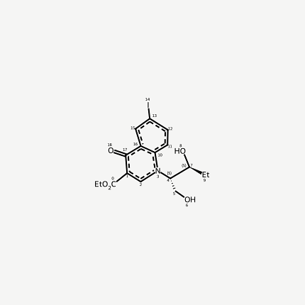 CCOC(=O)c1cn([C@@H](CO)[C@@H](O)CC)c2ccc(I)cc2c1=O